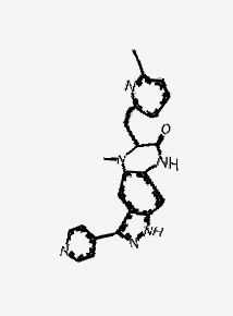 Cc1cccc(CC2C(=O)Nc3cc4[nH]nc(-c5ccncc5)c4cc3N2C)n1